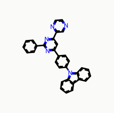 c1ccc(-c2nc(-c3ccc(-n4c5ccccc5c5ccccc54)cc3)cc(-c3cnccn3)n2)cc1